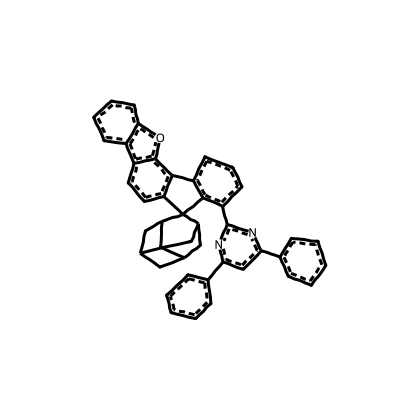 c1ccc(-c2cc(-c3ccccc3)nc(-c3cccc4c3C3(c5ccc6c(oc7ccccc76)c5-4)C4CC5CC(C4)CC3C5)n2)cc1